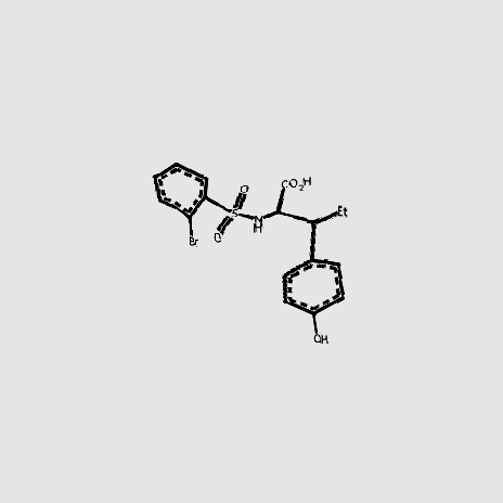 CCC(c1ccc(O)cc1)C(NS(=O)(=O)c1ccccc1Br)C(=O)O